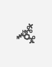 CN(C)C(=O)[C@H]1CC[C@H](N=[N+]=[N-])[C@H](NC(=O)OC(C)(C)C)C1